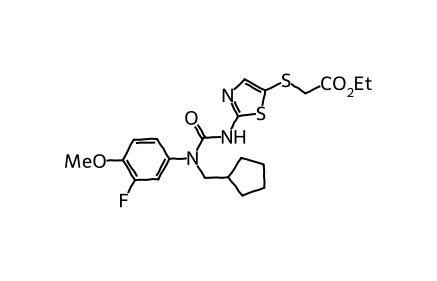 CCOC(=O)CSc1cnc(NC(=O)N(CC2CCCC2)c2ccc(OC)c(F)c2)s1